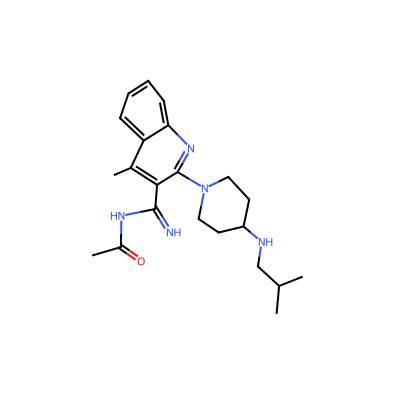 CC(=O)NC(=N)c1c(N2CCC(NCC(C)C)CC2)nc2ccccc2c1C